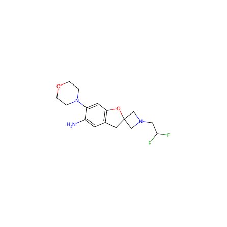 Nc1cc2c(cc1N1CCOCC1)OC1(C2)CN(CC(F)F)C1